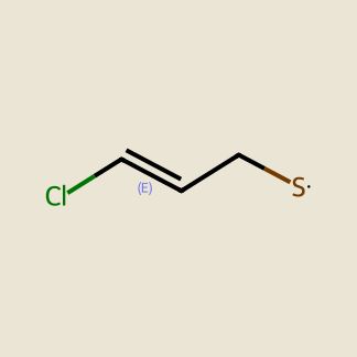 [S]C/C=C/Cl